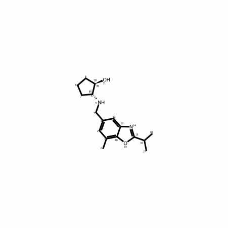 Cc1cc(CN[C@@H]2CCC[C@H]2O)cc2nc(C(C)C)oc12